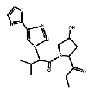 CCC(=O)C1CC(O)CN1C(=O)C(C(C)C)n1cc(-c2ncco2)nn1